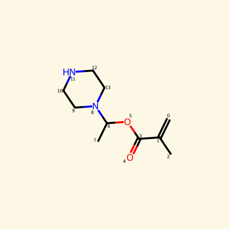 C=C(C)C(=O)OC(C)N1CCNCC1